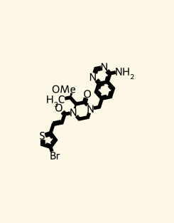 CO[C@H](C)[C@H]1C(=O)N(Cc2ccc3c(N)ncnc3c2)CCN1C(=O)C=Cc1cc(Br)cs1